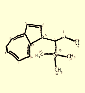 CCOC(n1[c]cc2ccccc21)[Si](C)(C)C